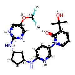 CC(C)(O)c1cccn(-c2ccc(N[C@H]3CC[C@H](Nc4ncc(OC(F)F)cn4)C3)nc2)c1=O